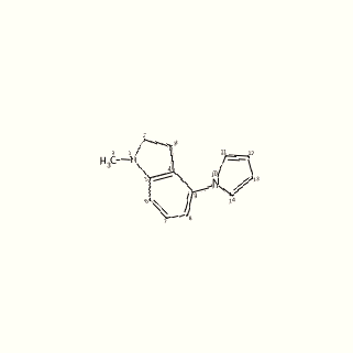 CN1CCc2c1cccc2-n1cccc1